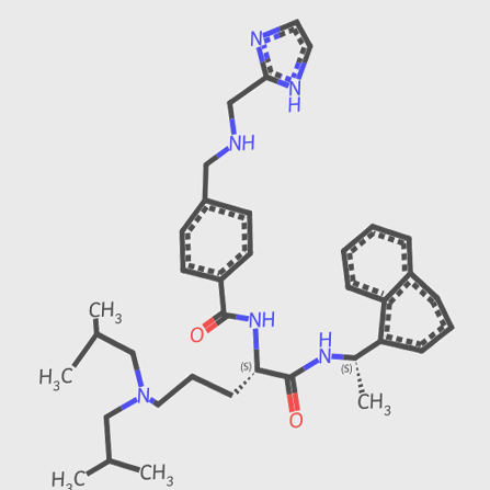 CC(C)CN(CCC[C@H](NC(=O)c1ccc(CNCc2ncc[nH]2)cc1)C(=O)N[C@@H](C)c1cccc2ccccc12)CC(C)C